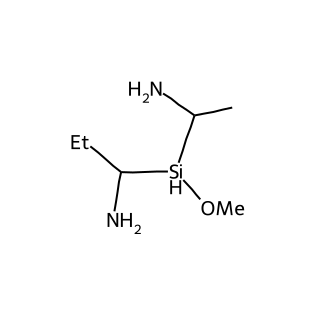 CCC(N)[SiH](OC)C(C)N